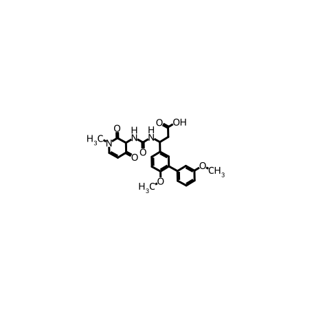 COc1cccc(-c2cc(C(CC(=O)O)NC(=O)NC3C(=O)C=CN(C)C3=O)ccc2OC)c1